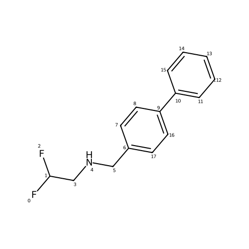 FC(F)CNCc1ccc(-c2c[c]ccc2)cc1